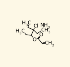 C=CC(=O)OC(CC)C(Cl)(CC)CC.N